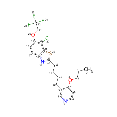 CCCOc1ccncc1CCCCc1nc2ccc(OCC(F)(F)F)c(Cl)c2s1